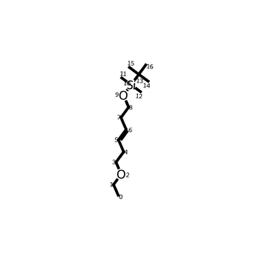 CCOCC/C=C/CCO[Si](C)(C)C(C)(C)C